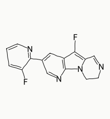 Fc1cccnc1-c1cnc2c(c1)c(F)c1n2CCN=C1